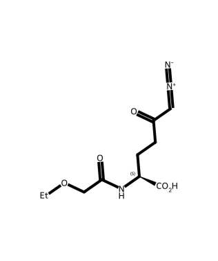 CCOCC(=O)N[C@@H](CCC(=O)C=[N+]=[N-])C(=O)O